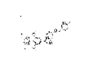 CCc1nnc(-c2c(OC)cc(-c3cnc4cc(OCc5ccc(C)nc5)ccn34)cc2OC)o1